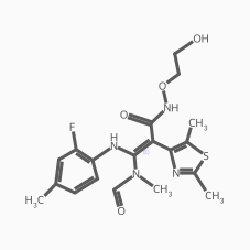 Cc1ccc(N/C(=C(\C(=O)NOCCO)c2nc(C)sc2C)N(C)C=O)c(F)c1